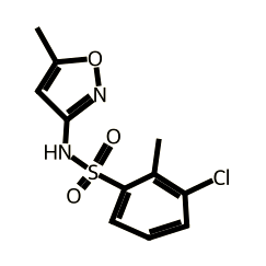 Cc1cc(NS(=O)(=O)c2cccc(Cl)c2C)no1